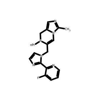 CCCN1CC2=CN=C(C)[N+]2C=C1Cn1ccnc1-c1ncccc1F